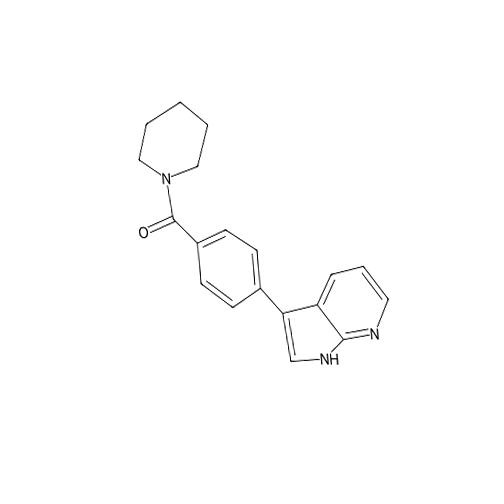 O=C(c1ccc(-c2c[nH]c3ncccc23)cc1)N1CCCCC1